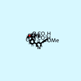 COCC#Cc1cncc(-c2ccc3c(c2)C2(COC(N(C(=O)O)C(=O)O)=N2)C2(COC2)CO3)c1